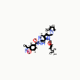 Cc1noc2ccc(C(=O)Nc3cc4c(cn3)cc(CN3CCC[C@@H]3C)n4COCC[Si](C)(C)C)cc12